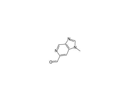 Cn1cnc2cnc(C=O)cc21